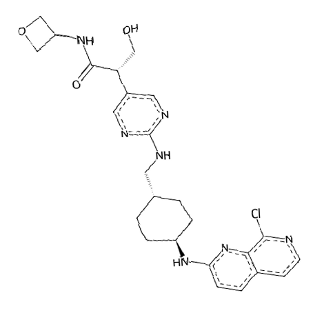 O=C(NC1COC1)[C@H](CO)c1cnc(NC[C@H]2CC[C@H](Nc3ccc4ccnc(Cl)c4n3)CC2)nc1